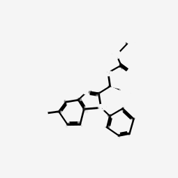 C[C@H](NC(=O)OC(C)(C)C)c1nc2cc(F)ccc2n1-c1ccccc1